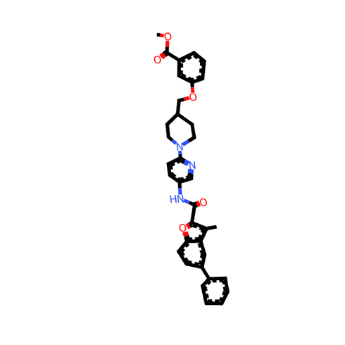 COC(=O)c1cccc(OCC2CCN(c3ccc(NC(=O)c4oc5ccc(-c6ccccc6)cc5c4C)cn3)CC2)c1